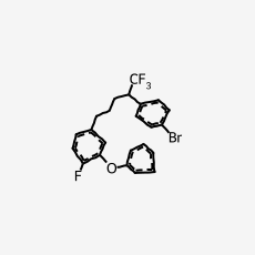 Fc1ccc(CCCC(c2ccc(Br)cc2)C(F)(F)F)cc1Oc1ccccc1